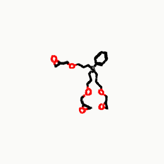 c1ccc([Si](CCCOCC2CO2)(CCCOCC2CO2)CCCOCC2CO2)cc1